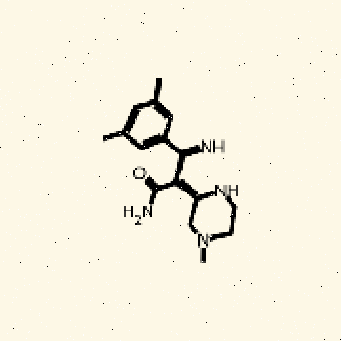 Cc1cc(C)cc(C(=N)/C(C(N)=O)=C2/CN(C)CCN2)c1